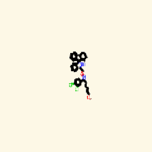 COCCCCCC(=NOCCNC(c1ccccc1)(c1ccccc1)c1ccccc1)c1ccc(Cl)c(Cl)c1